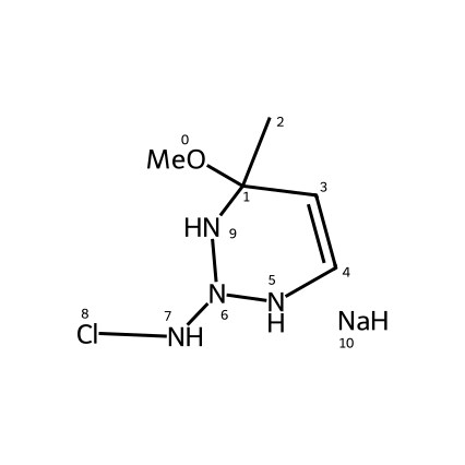 COC1(C)C=CNN(NCl)N1.[NaH]